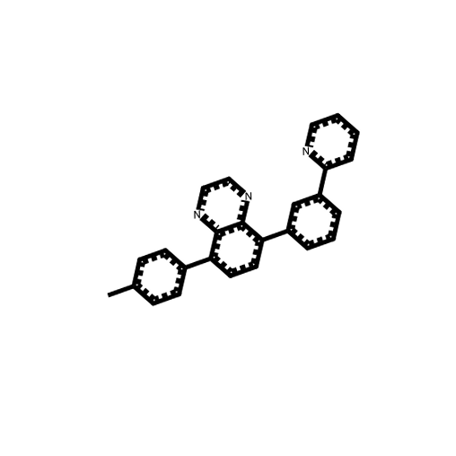 Cc1ccc(-c2ccc(-c3cccc(-c4ccccn4)c3)c3nccnc23)cc1